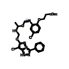 CCCCCCCCCCCCOc1ccc(Cl)cc1/N=C\OC(C)NCOc1nn2c(-c3ccccc3)n[nH]c2c1Cl